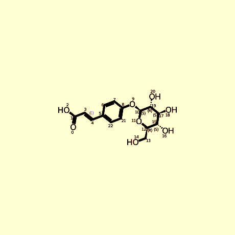 O=C(O)/C=C/c1ccc(O[C@@H]2O[C@H](CO)[C@@H](O)[C@H](O)[C@H]2O)cc1